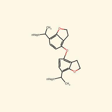 CCCCCCCC(C)c1ccc(Oc2ccc(C(C)CCCCCCC)c3c2CCO3)c2c1OCC2